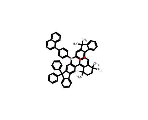 CC1(C)CCC(C)(C)c2c(-c3cc4c(cc3N(c3ccc(-c5cccc6ccccc56)cc3)c3ccc5c(c3)C(C)(C)c3ccccc3-5)C(c3ccccc3)(c3ccccc3)c3ccccc3-4)cccc21